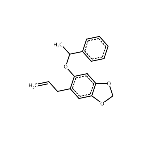 C=CCc1cc2c(cc1OC(C)c1ccccc1)OCO2